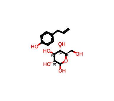 C=CCc1ccc(O)cc1.OC[C@H]1OC(O)[C@H](O)[C@@H](O)[C@@H]1O